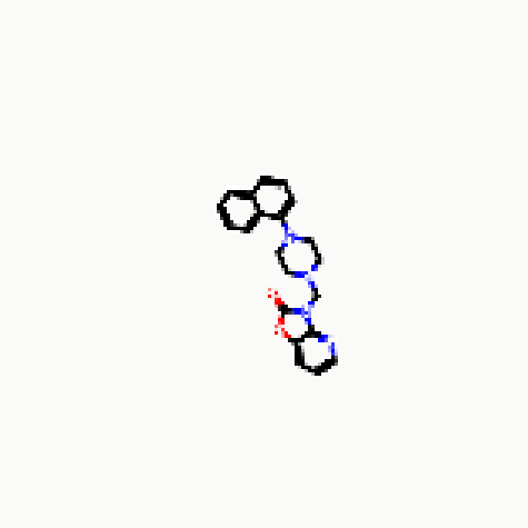 O=c1oc2cccnc2n1CN1CCN(c2cccc3ccccc23)CC1